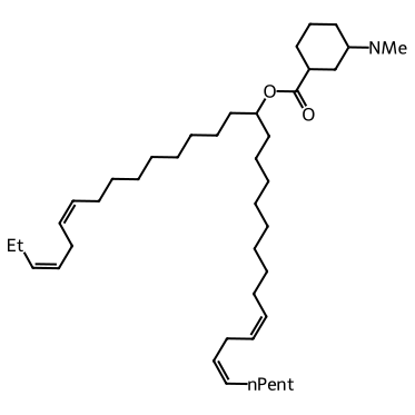 CC/C=C\C/C=C\CCCCCCCCC(CCCCCCCC/C=C\C/C=C\CCCCC)OC(=O)C1CCCC(NC)C1